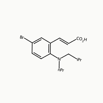 CCCN(CC(C)C)c1ccc(Br)cc1/C=C/C(=O)O